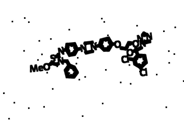 COC1CN(Cc2ccccc2)/C(=N\c2ccc(N3CCN(c4ccc(OCC5COC(Cn6cncn6)(c6ccc(Cl)cc6Cl)O5)cc4)CC3)cc2)S1